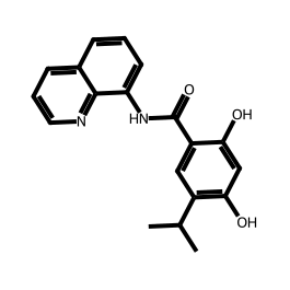 CC(C)c1cc(C(=O)Nc2cccc3cccnc23)c(O)cc1O